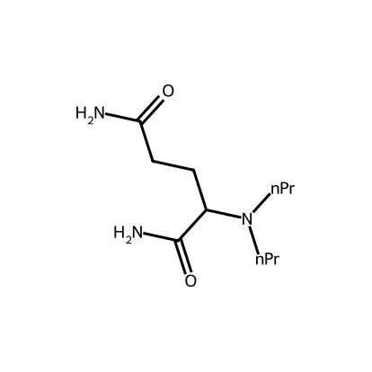 CCCN(CCC)C(CCC(N)=O)C(N)=O